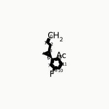 C=CCC1C[C@@H]1c1cc(F)ccc1C(C)=O